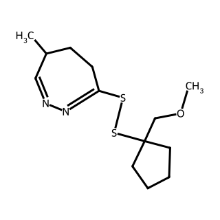 COCC1(SSC2=NN=CC(C)CC2)CCCC1